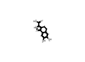 O=C(O)c1[nH]nc2c1CCc1cc(O)c(O)cc1-2